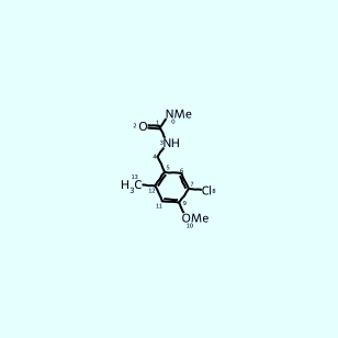 CNC(=O)NCc1cc(Cl)c(OC)cc1C